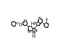 Fc1ccccc1-c1cncc2[nH]c(-c3n[nH]c4ncc(-c5cncc(OCc6ccccc6)c5)cc34)cc12